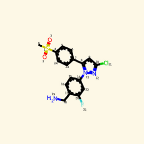 CS(=O)(=O)c1ccc(-c2cc(Cl)nn2-c2ccc(CN)c(F)c2)cc1